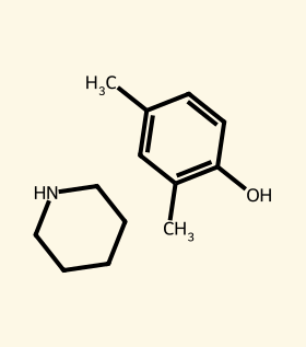 C1CCNCC1.Cc1ccc(O)c(C)c1